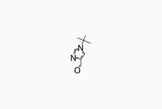 CC(C)(C)n1cnc(C=O)c1